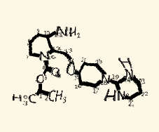 CC(C)OC(=O)N1CCCC(N)C1COC1CCN(C2NC=CCN2)CC1